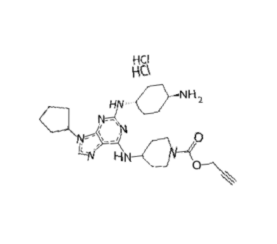 C#CCOC(=O)N1CCC(Nc2nc(N[C@H]3CC[C@H](N)CC3)nc3c2ncn3C2CCCC2)CC1.Cl.Cl